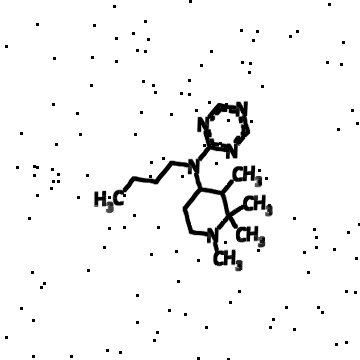 CCCCN(c1ncncn1)C1CCN(C)C(C)(C)C1C